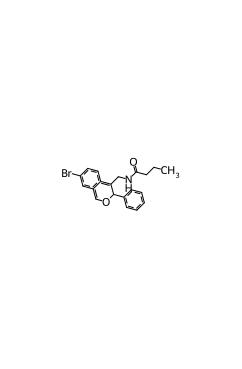 CCCC(=O)NCC1=c2ccc(Br)cc2=COC1c1ccccc1